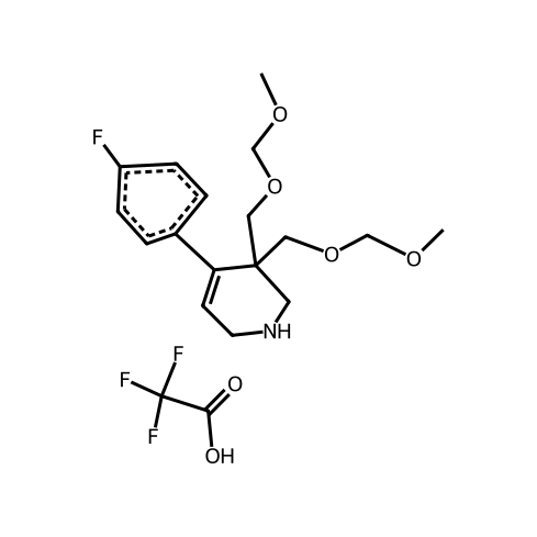 COCOCC1(COCOC)CNCC=C1c1ccc(F)cc1.O=C(O)C(F)(F)F